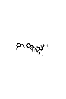 C=C(NCc1cc2ccc(OCc3cccc(F)c3)cc2o1)c1ccc(N)nc1N